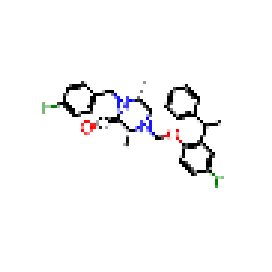 CC(c1ccccc1)c1cc(Cl)ccc1OCN1C[C@@H](C)N(Cc2ccc(F)cc2)C(=C=O)[C@@H]1C